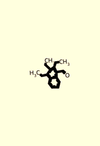 CCc1c(CC)c(CC)c2ccccc2c1C=O